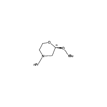 CCCN1CCO[C@@H](OC(C)(C)C)C1